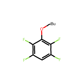 CCC(C)Oc1c(F)c(F)cc(F)c1F